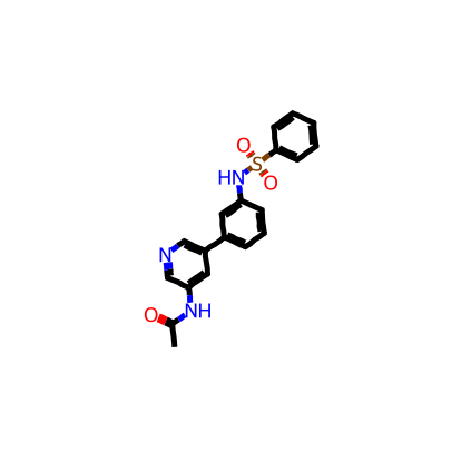 CC(=O)Nc1cncc(-c2cccc(NS(=O)(=O)c3ccccc3)c2)c1